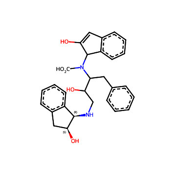 O=C(O)N(C1C(O)=Cc2ccccc21)C(Cc1ccccc1)C(O)CN[C@@H]1c2ccccc2C[C@@H]1O